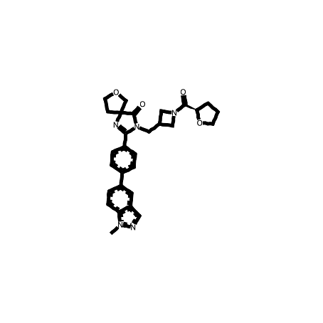 Cn1ncc2cc(-c3ccc(C4=NC5(CCOC5)C(=O)N4CC4CN(C(=O)[C@H]5CCCO5)C4)cc3)ccc21